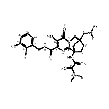 CCN(C)CC12CCC(NC(=O)C(=O)N(C)C)(CC1)c1nc(C(=O)NCc3cccc(Cl)c3F)c(O)c(=O)n1C2